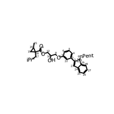 CCCCCn1c(-c2cccc(OCC(O)COC(=O)C3(CC(C)C)CC3C)c2)cc2ccccc21